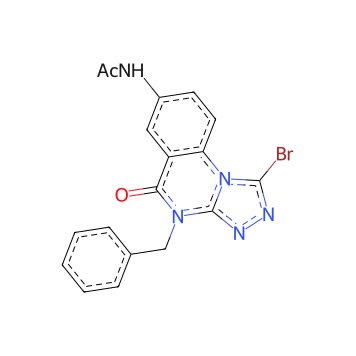 CC(=O)Nc1ccc2c(c1)c(=O)n(Cc1ccccc1)c1nnc(Br)n21